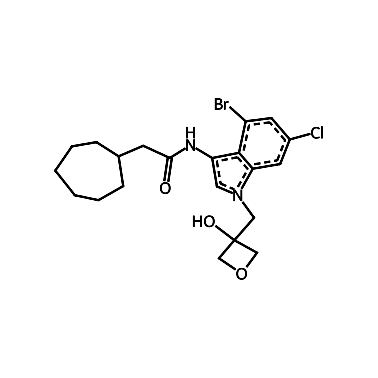 O=C(CC1CCCCCC1)Nc1cn(CC2(O)COC2)c2cc(Cl)cc(Br)c12